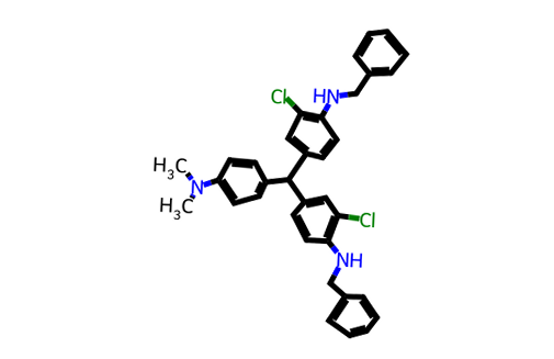 CN(C)c1ccc(C(c2ccc(NCc3ccccc3)c(Cl)c2)c2ccc(NCc3ccccc3)c(Cl)c2)cc1